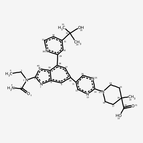 CCN(C(N)=O)c1nc2cc(-c3cnc(N4CCC(C)(C(=O)O)CC4)nc3)cc(-c3cc(C(C)(C)O)ccn3)c2s1